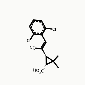 CC1(C)[C@H](C(=O)O)[C@H]1C(C#N)=Cc1c(Cl)cccc1Cl